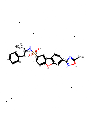 CC(C)(C)c1nc(-c2ccc3c(c2)oc2ccc(S(=O)(=O)N[C@H](Cc4ccccc4)C(=O)O)cc23)no1